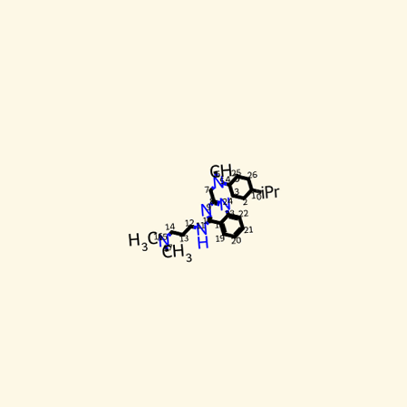 CC(C)C1CCC(N(C)Cc2nc(NCCCN(C)C)c3ccccc3n2)CC1